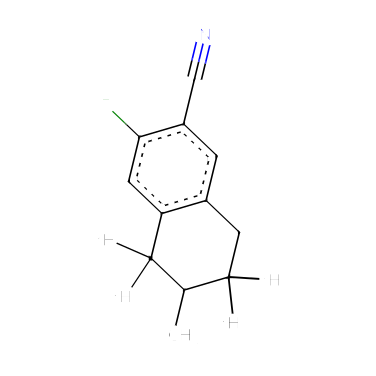 [2H]C1([2H])Cc2cc(C#N)c(F)cc2C([2H])([2H])C1C